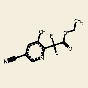 CCOC(=O)C(F)(F)c1ncc(C#N)cc1C